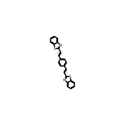 C(=C\c1nc2ccccc2s1)/c1ccc(/C=C/c2nc3ccccc3s2)cc1